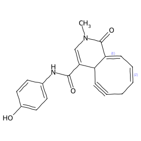 CN1C=C(C(=O)Nc2ccc(O)cc2)C2C#CC/C=C\C=C/2C1=O